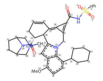 CCCS(=O)(=O)NC(=O)C1=C2Cn3c(cc4c(OC)ccc(C5CCCCC5)c43)C3C(=C21)C=CC[C@H]3C(=O)N1C2CCC1CN(C)C2